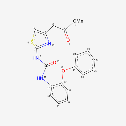 COC(=O)Cc1csc(NC(=O)Nc2ccccc2Oc2ccccc2)n1